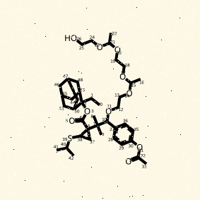 CCC1(OC(=O)C2(C(C)(C)C(OCCOC(C)OCCOC(C)OCCO)c3ccc(OC(C)=O)cc3)CC2SC(C)C)C2CC3CC(C2)CC1C3